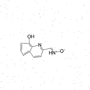 [O-][NH+]=Cc1ccc2cccc(O)c2n1